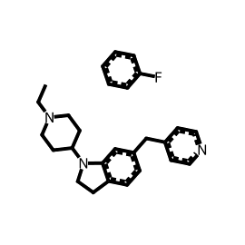 CCN1CCC(N2CCc3ccc(Cc4ccncc4)cc32)CC1.Fc1ccccc1